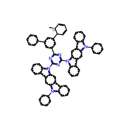 C[C@H]1C=CC=CC1c1cc(-c2ccccc2)cc(-c2nc(-n3c4ccccc4c4cc5c(cc43)c3ccccc3n5-c3ccccc3)nc(-n3c4ccccc4c4cc5c(cc43)c3ccccc3n5-c3ccccc3)n2)c1